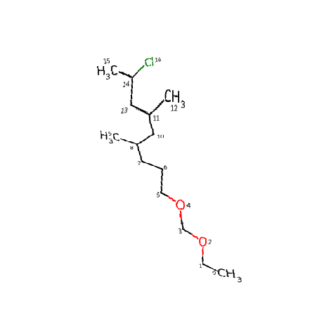 CCOCOCCCC(C)CC(C)CC(C)Cl